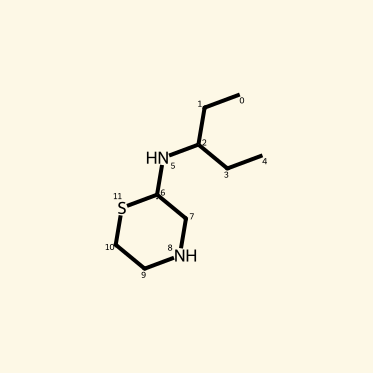 CCC(CC)N[C]1CNCCS1